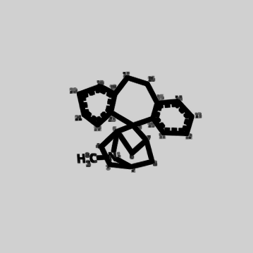 CN1C2CCC13CC(C2)C31c2ccccc2CCc2ccccc21